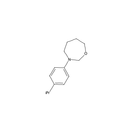 CC(C)c1ccc(N2CCCCOC2)cc1